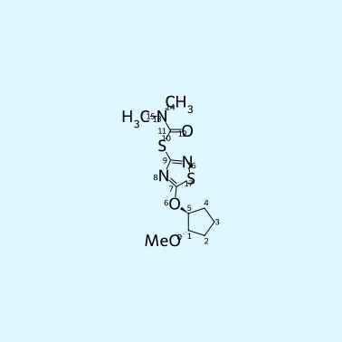 CO[C@H]1CCC[C@@H]1Oc1nc(SC(=O)N(C)C)ns1